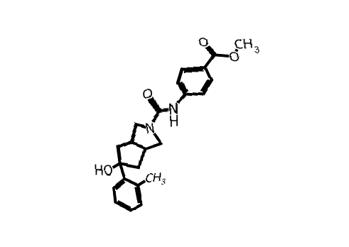 COC(=O)c1ccc(NC(=O)N2CC3CC(O)(c4ccccc4C)CC3C2)cc1